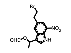 CC(OC=O)c1c[nH]c2c([N+](=O)[O-])cc(CCBr)cc12